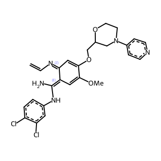 C=C/N=C1/C=C(OCC2CN(c3ccncc3)CCO2)C(OC)=C/C1=C(/N)Nc1ccc(Cl)c(Cl)c1